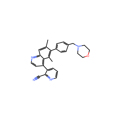 Cc1cc2nccc(-c3cccnc3C#N)c2c(C)c1-c1ccc(CN2CCOCC2)cc1